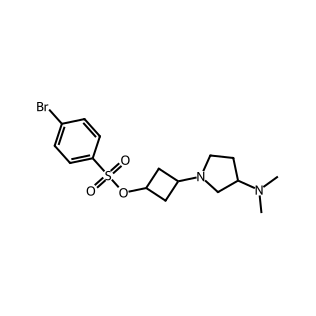 CN(C)C1CCN(C2CC(OS(=O)(=O)c3ccc(Br)cc3)C2)C1